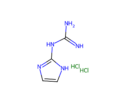 Cl.Cl.N=C(N)Nc1ncc[nH]1